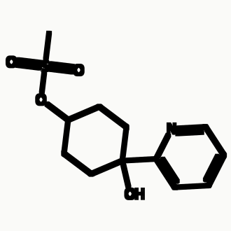 CS(=O)(=O)OC1CCC(O)(c2ccccn2)CC1